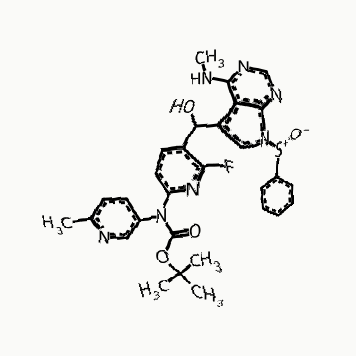 CNc1ncnc2c1c(C(O)c1ccc(N(C(=O)OC(C)(C)C)c3ccc(C)nc3)nc1F)cn2[S+]([O-])c1ccccc1